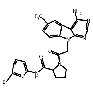 Nc1ncnc2c1c1cc(C(F)(F)F)ccc1n2CC(=O)N1CCCC1C(=O)Nc1cccc(Br)n1